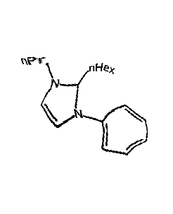 CCCCCCC1N(CCC)C=CN1c1ccccc1